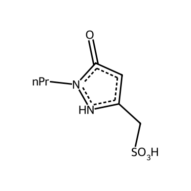 CCCn1[nH]c(CS(=O)(=O)O)cc1=O